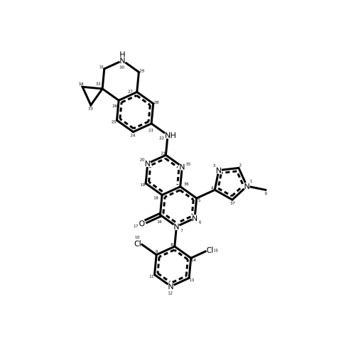 Cn1cnc(-c2nn(-c3c(Cl)cncc3Cl)c(=O)c3cnc(Nc4ccc5c(c4)CNCC54CC4)nc23)c1